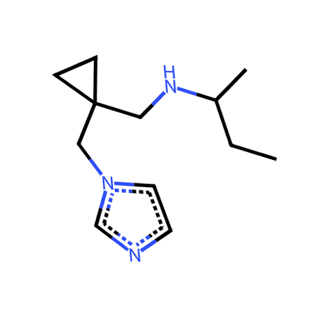 CCC(C)NCC1(Cn2ccnc2)CC1